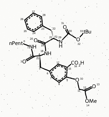 CCCCCNC(=O)[C@H](Cc1ccc(OCC(=O)OC)c(C(=O)O)c1)NC(=O)[C@H](Cc1ccccc1)NC(=O)OC(C)(C)C